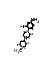 CCc1cc(N)ccc1N1CCN(C2CCN(C)CC2)CC1